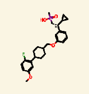 COc1ccc(F)c(C2CCC(COc3cccc([C@H](CP(C)(=O)O)C4CC4)c3)CC2)c1